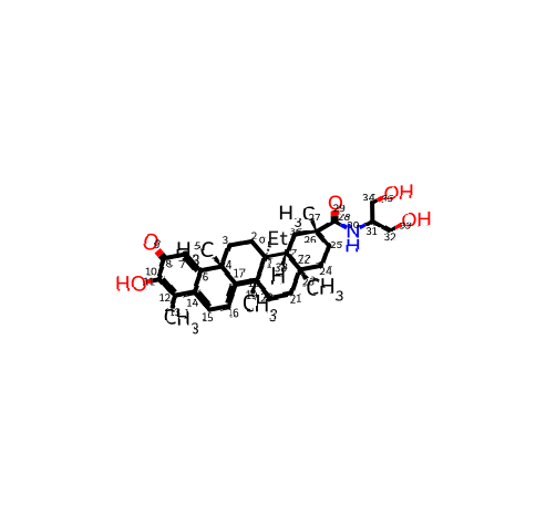 CC[C@@]12CC[C@@]3(C)C4=CC(=O)C(O)=C(C)C4=CC=C3[C@@]1(C)CC[C@@]1(C)CC[C@@](C)(C(=O)NC(CO)CO)C[C@H]12